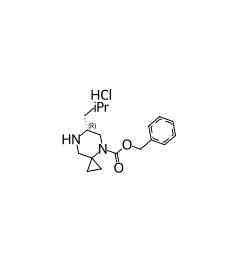 CC(C)C[C@@H]1CN(C(=O)OCc2ccccc2)C2(CC2)CN1.Cl